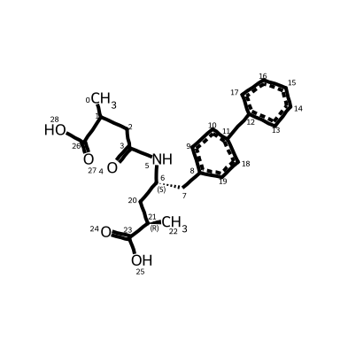 CC(CC(=O)N[C@H](Cc1ccc(-c2ccccc2)cc1)C[C@@H](C)C(=O)O)C(=O)O